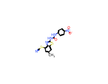 Cc1cc(SC#N)c2nc(NC(=O)Nc3ccc([N+](=O)[O-])cc3)sc2c1